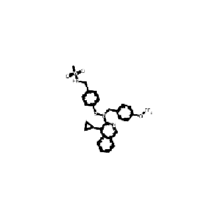 CS(=O)(=O)NCc1ccc(SN(Cc2ccc(OC(F)(F)F)cc2)c2ncc3ccccc3c2C2CC2)cc1